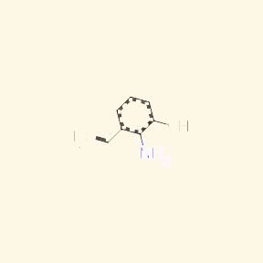 C=Cc1cccc(C)c1N